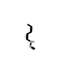 C=NN/C=C\C=C/C